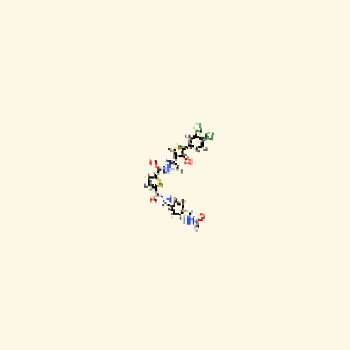 CC(=O)NCc1ccc(CNC(=O)c2ccc(C(=O)N/N=C(\C)c3csc(-c4ccc(Cl)c(Cl)c4)c3O)s2)cc1